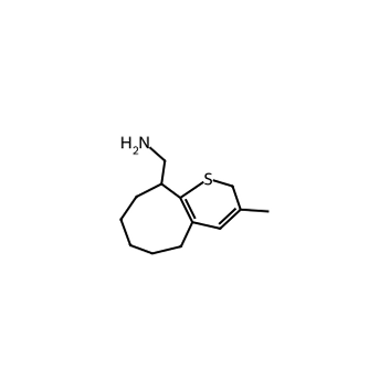 CC1=CC2=C(SC1)C(CN)CCCCC2